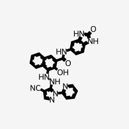 N#Cc1cnn(-c2ccccn2)c1NNc1c(O)c(C(=O)Nc2ccc3[nH]c(=O)[nH]c3c2)cc2ccccc12